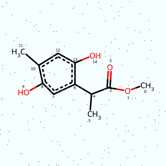 COC(=O)C(C)c1cc(O)c(C)cc1O